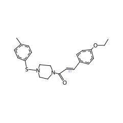 CCOc1ccc(/C=C/C(=O)N2CCN(Sc3ccc(C)cc3)CC2)cc1